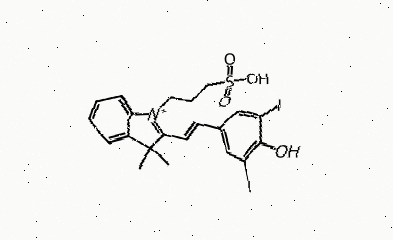 CC1(C)C(C=Cc2cc(I)c(O)c(I)c2)=[N+](CCCS(=O)(=O)O)c2ccccc21